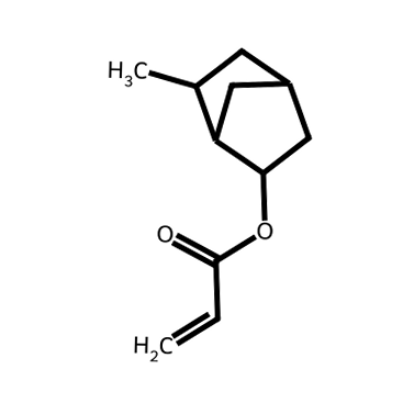 C=CC(=O)OC1CC2CC(C)C1C2